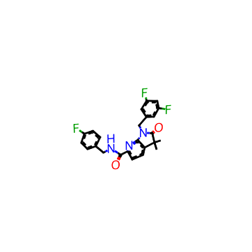 CC1(C)C(=O)N(Cc2cc(F)cc(F)c2)c2nc(C(=O)NCc3ccc(F)cc3)ccc21